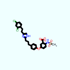 CS(=O)(=O)Nc1ccc(Oc2ccc(CCCc3nc(CCc4ccc(Cl)cc4Cl)c[nH]3)cc2)cc1C(=O)O